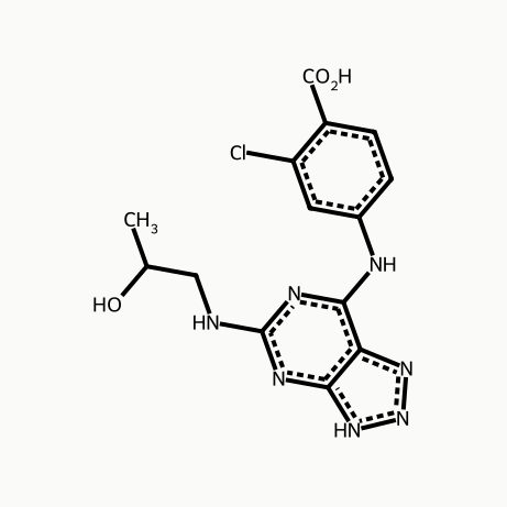 CC(O)CNc1nc(Nc2ccc(C(=O)O)c(Cl)c2)c2nn[nH]c2n1